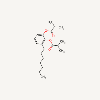 CCCCCCCc1cccc(OC(=O)C(C)C)c1OC(=O)C(C)C